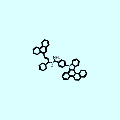 NC(N[C@H](/C=C/c1cc2c(c3c1CCC=C3)CCC=C2)C1CC=CCC1)c1ccc(N2C3=c4ccccc4=C4C=CC5=C(CCC=C5)C4C3C3C=CC=CC32)cc1